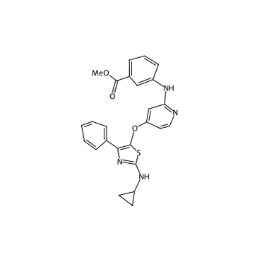 COC(=O)c1cccc(Nc2cc(Oc3sc(NC4CC4)nc3-c3ccccc3)ccn2)c1